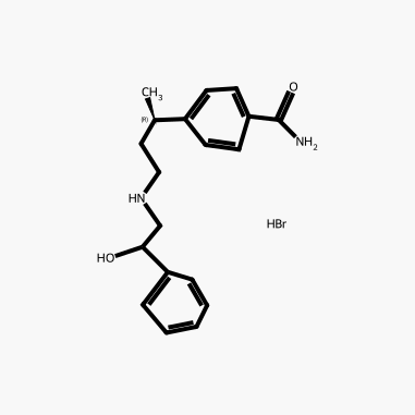 Br.C[C@H](CCNCC(O)c1ccccc1)c1ccc(C(N)=O)cc1